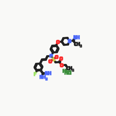 CCOC(=O)CS(=O)(=O)N(C/C=C/c1ccc(F)c(C(=N)N)c1)c1ccc(OC2CCN(C(C)=N)CC2)cc1.Cl.Cl